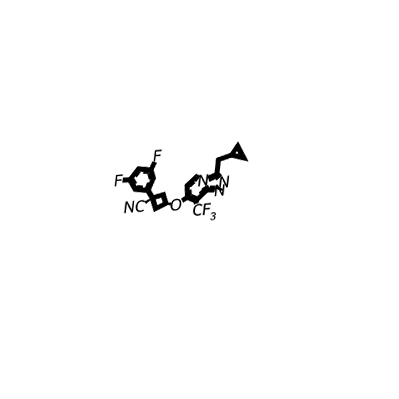 N#C[C@]1(c2cc(F)cc(F)c2)C[C@H](Oc2ccn3c(CC4CC4)nnc3c2C(F)(F)F)C1